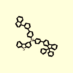 c1ccc(C2(c3ccccc3)c3ccccc3-c3ccc(-c4ccc(N(c5ccc(-c6cccc(-c7cccc8ccccc78)c6)cc5)c5ccc6sc7ccccc7c6c5)cc4)cc32)cc1